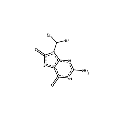 CCC(CC)n1c(=O)sc2c(=O)[nH]c(N)nc21